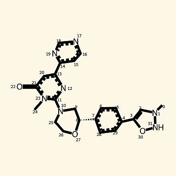 CN1C=C(c2ccc([C@H]3CN(c4nc(-c5ccncn5)cc(=O)n4C)CCO3)cc2)ON1